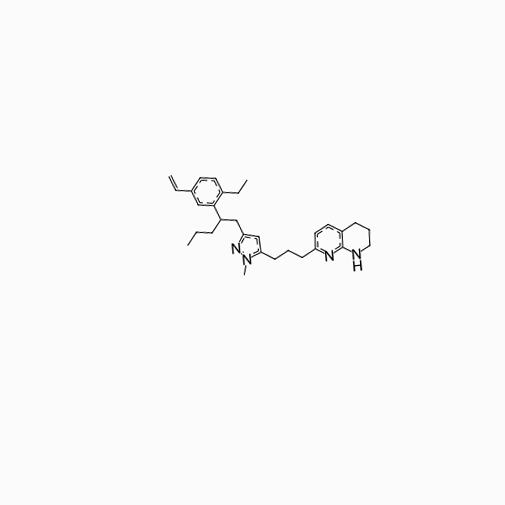 C=Cc1ccc(CC)c(C(CCC)Cc2cc(CCCc3ccc4c(n3)NCCC4)n(C)n2)c1